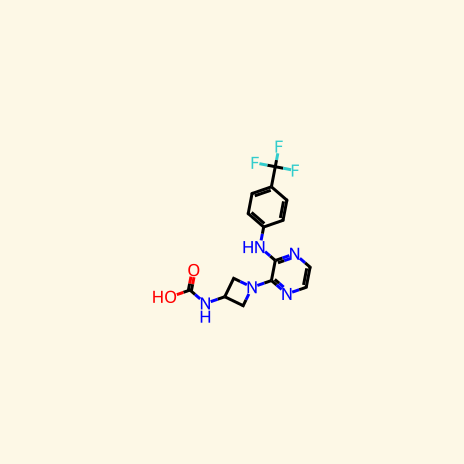 O=C(O)NC1CN(c2nccnc2Nc2ccc(C(F)(F)F)cc2)C1